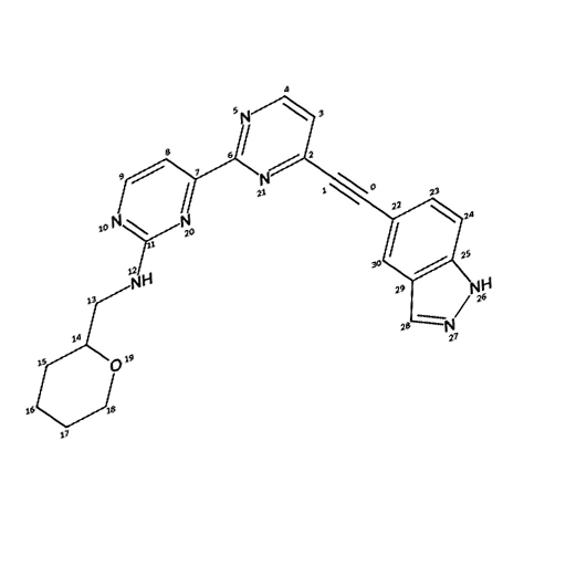 C(#Cc1ccnc(-c2ccnc(NCC3CCCCO3)n2)n1)c1ccc2[nH]ncc2c1